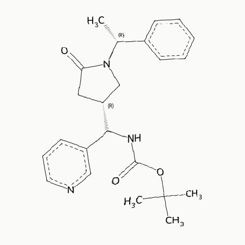 C[C@H](c1ccccc1)N1C[C@H](C(NC(=O)OC(C)(C)C)c2cccnc2)CC1=O